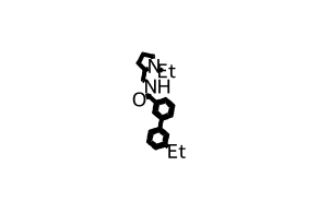 CCc1cccc(-c2cccc(C(=O)NCC3CCCN3CC)c2)c1